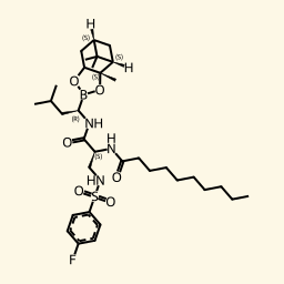 CCCCCCCCCC(=O)N[C@@H](CNS(=O)(=O)c1ccc(F)cc1)C(=O)N[C@@H](CC(C)C)B1OC2C[C@@H]3C[C@@H](C3(C)C)[C@]2(C)O1